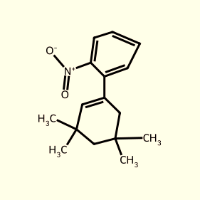 CC1(C)C=C(c2ccccc2[N+](=O)[O-])CC(C)(C)C1